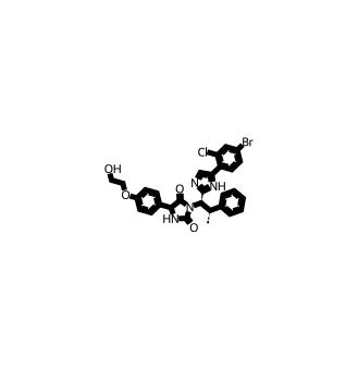 C[C@@H](c1ccccc1)[C@@H](c1ncc(-c2ccc(Br)cc2Cl)[nH]1)N1C(=O)NC(c2ccc(OCCO)cc2)C1=O